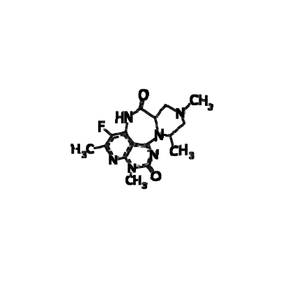 Cc1nc2c3c(nc(=O)n2C)N2C(C)CN(C)CC2C(=O)Nc3c1F